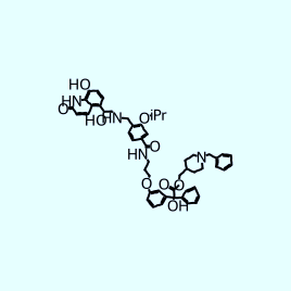 CC(C)Oc1cc(C(=O)NCCCOc2cccc([C@](O)(C(=O)OCC3CCN(Cc4ccccc4)CC3)c3ccccc3)c2)ccc1CNC[C@H](O)c1ccc(O)c2[nH]c(=O)ccc12